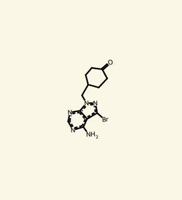 Nc1ncnc2c1c(Br)nn2CC1CCC(=O)CC1